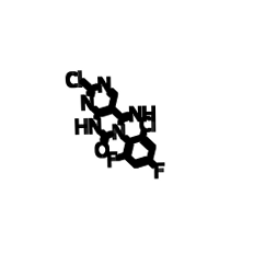 N=c1c2cnc(Cl)nc2[nH]c(=O)n1-c1c(F)cc(F)cc1Cl